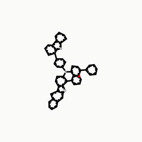 c1ccc(-c2ccc(N(c3ccc(-c4cccc5c4oc4ccccc45)cc3)c3ccc4c(oc5cc6ccccc6cc54)c3-c3ccccc3)cc2)cc1